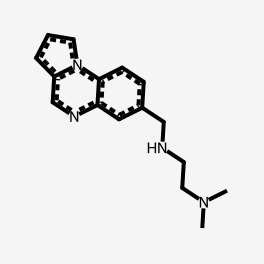 CN(C)CCNCc1ccc2c(c1)ncc1cccn12